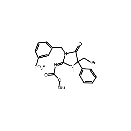 CCOC(=O)c1cccc(CN2C(=O)C(CC(C)C)(c3ccccc3)NC2=NC(=O)OC(C)(C)C)c1